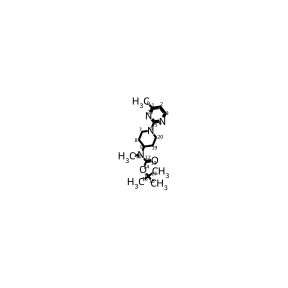 Cc1ccnc(N2CCC(N(C)C(=O)OC(C)(C)C)CC2)n1